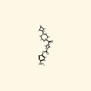 Nc1ccc(OC(=O)N2CC(C(=O)N3CCCN(C4CCC4)CC3)C2)cc1